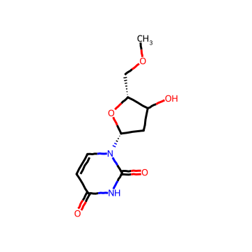 COC[C@H]1O[C@@H](n2ccc(=O)[nH]c2=O)CC1O